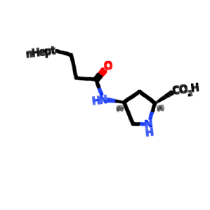 CCCCCCCCCC(=O)N[C@@H]1CN[C@H](C(=O)O)C1